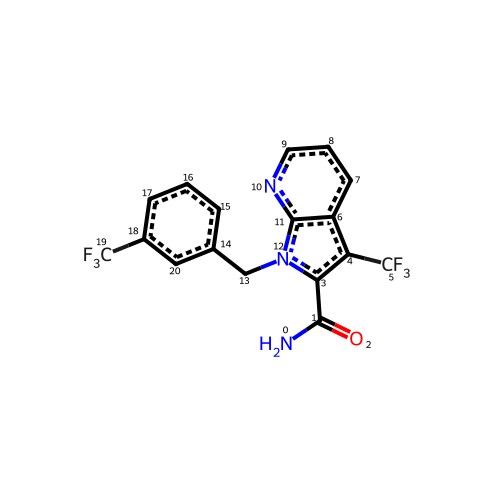 NC(=O)c1c(C(F)(F)F)c2cccnc2n1Cc1cccc(C(F)(F)F)c1